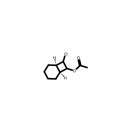 CC(=O)OC1C(Cl)[C@@H]2CCCC[C@H]12